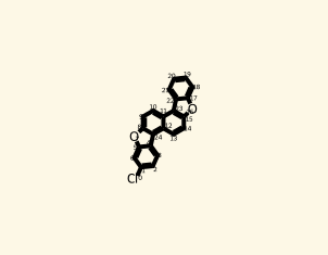 Clc1ccc2c(c1)oc1ccc3c(ccc4oc5ccccc5c43)c12